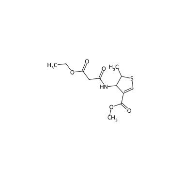 CCOC(=O)CC(=O)NC1C(C(=O)OC)=CSC1C